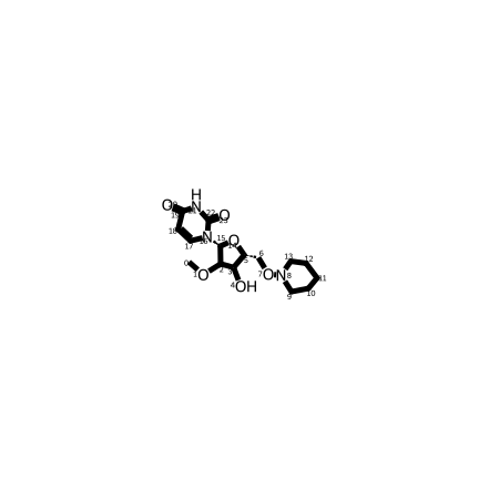 COC1C(O)[C@@H](CON2CCCCC2)O[C@H]1n1ccc(=O)[nH]c1=O